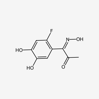 CC(=O)C(=NO)c1cc(O)c(O)cc1F